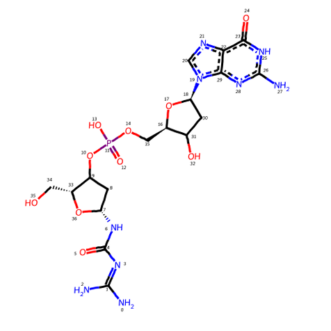 NC(N)=NC(=O)N[C@H]1CC(OP(=O)(O)OC[C@H]2O[C@@H](n3cnc4c(=O)[nH]c(N)nc43)CC2O)[C@@H](CO)O1